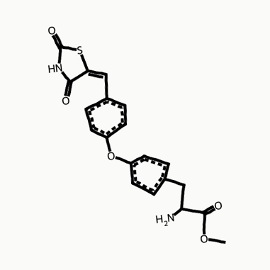 COC(=O)C(N)Cc1ccc(Oc2ccc(/C=C3/SC(=O)NC3=O)cc2)cc1